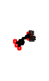 CCO[Si](CCCc1ccc2c(c1)C(=O)OC2=O)(OCC)OCC